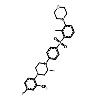 Cc1c(N2CCOCC2)cccc1S(=O)(=O)c1ccc(N2CCN(c3ccc(F)cc3C(F)(F)F)C[C@H]2C)cc1